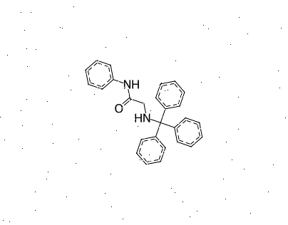 O=C(CNC(c1ccccc1)(c1ccccc1)c1ccccc1)Nc1ccccc1